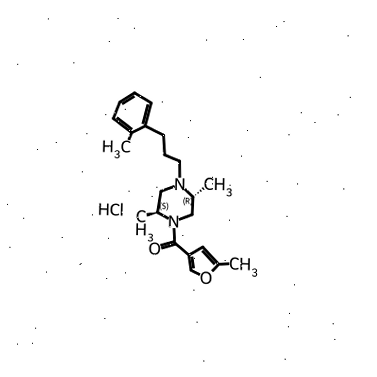 Cc1cc(C(=O)N2C[C@@H](C)N(CCCc3ccccc3C)C[C@@H]2C)co1.Cl